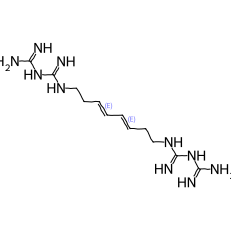 N=C(N)NC(=N)NCC/C=C/C=C/CCNC(=N)NC(=N)N